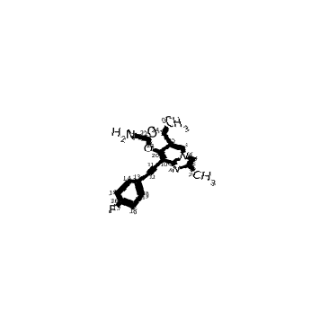 CCc1cn2cc(C)nc2c(C#Cc2ccc(F)cc2)c1OC(N)=O